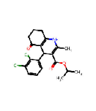 CC1=C(C(=O)OC(C)C)C(c2cccc(Cl)c2Cl)C2=C(CCCC2=O)N1